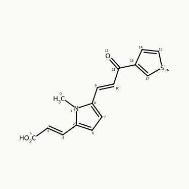 Cn1c(/C=C/C(=O)O)ccc1/C=C/C(=O)c1ccsc1